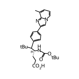 Cc1cccn2cc(-c3ccc(C([C@@H](CCC(=O)O)NC(=O)OC(C)(C)C)C(C)(C)C)cc3)nc12